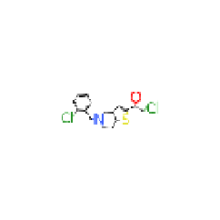 O=C(CCl)C1=CC2CN(Cc3ccccc3Cl)CCC2S1